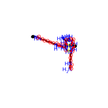 N=C(N)NCCC[C@@H]1NC(=O)[C@@H]2CSSC[C@H](NC(=O)[C@H](CC(=O)O)NC(=O)CNC1=O)C(=O)N[C@@H](Cc1ccccc1)C(=O)N[C@H](C(=O)NCCOCCOCCOCCNC(=O)COCC(N)=O)CSCC(=O)N[C@@H](CCCCNC(=O)COCC(=O)NCCOCCOCCOCCOCCOCCNC(=O)OC/N=C/c1ccccc1)C(=O)N2